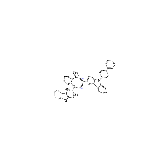 C=C1/C=C(c2ccc3c(c2)c2ccccc2n3C2=CCC(c3ccccc3)C=C2)\C=C/N(C2NCc3sc4ccccc4c3N2)c2ccccc21